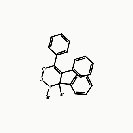 BrN1OOC(c2ccccc2)=C(c2ccccc2)C1(Br)c1ccccc1